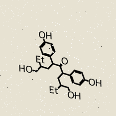 CCC(CO)CC(C(=O)C(CC(CC)CO)c1ccc(O)cc1)c1ccc(O)cc1